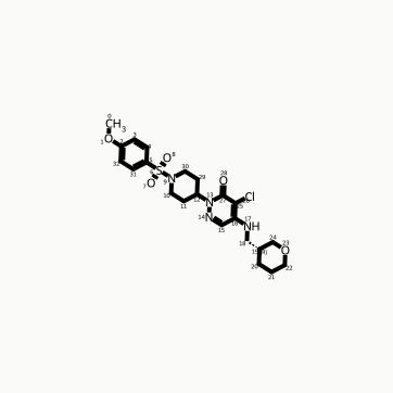 COc1ccc(S(=O)(=O)N2CCC(n3ncc(NC[C@H]4CCCOC4)c(Cl)c3=O)CC2)cc1